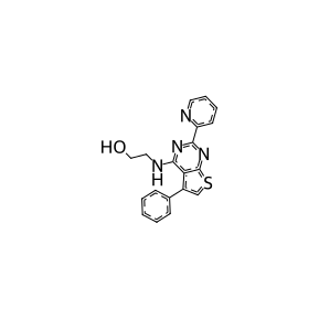 OCCNc1nc(-c2ccccn2)nc2scc(-c3ccccc3)c12